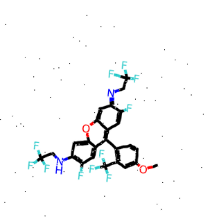 COc1ccc(-c2c3cc(F)/c(=N\CC(F)(F)F)cc-3oc3cc(NCC(F)(F)F)c(F)cc23)c(C(F)(F)F)c1